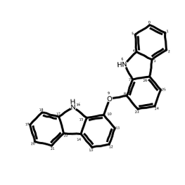 c1ccc2c(c1)[nH]c1c(Oc3cccc4c3[nH]c3ccccc34)cccc12